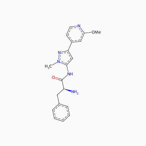 COc1cc(-c2cc(NC(=O)[C@@H](N)Cc3ccccc3)n(C)n2)ccn1